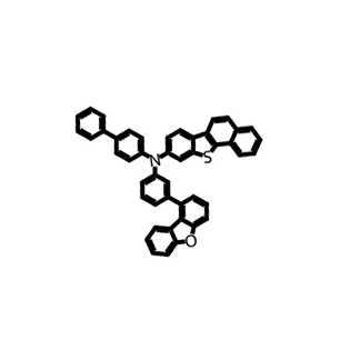 c1ccc(-c2ccc(N(c3cccc(-c4cccc5oc6ccccc6c45)c3)c3ccc4c(c3)sc3c5ccccc5ccc43)cc2)cc1